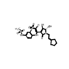 CC(C)(C)[C@H]1C(O)=C(C2=C(Cl)S(=O)(=O)c3cc(NS(C)(=O)=O)ccc3N2)C(=O)N1CCC1CCCC1